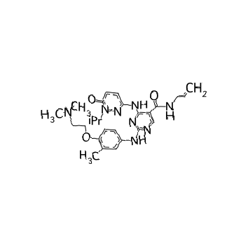 C=CCNC(=O)c1cnc(Nc2ccc(OCCN(C)C)c(C)c2)nc1Nc1ccc(=O)n(C(C)C)n1